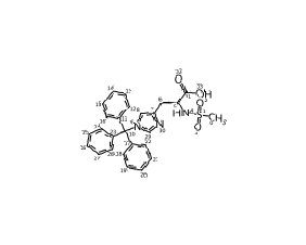 CS(=O)(=O)N[C@@H](Cc1cn(C(c2ccccc2)(c2ccccc2)c2ccccc2)cn1)C(=O)O